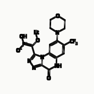 CCO/C(c1nnc2c(=O)[nH]c3cc(C(F)(F)F)c(N4CCOCC4)cc3n12)=[P+](/[O-])O